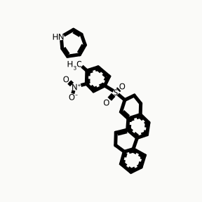 C1=CC=CNC=C1.Cc1ccc(S(=O)(=O)C2C=c3c(ccc4c3=CCc3ccccc3-4)CC2)cc1[N+](=O)[O-]